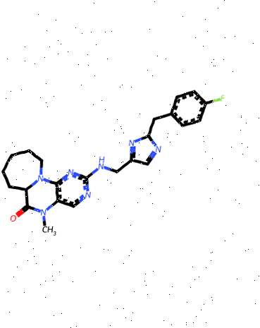 CN1C(=O)C2CCCCCN2c2nc(NCC3=NC(Cc4ccc(F)cc4)N=C3)ncc21